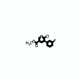 COC(=O)c1cnc(Cl)c(-c2cccc(F)c2)c1